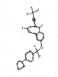 Fc1cc2cc(OC(F)(F)c3ccc(-c4ccccc4)cn3)ccc2c(F)c1C#CC(F)(F)F